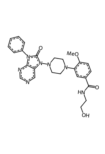 COc1ccc(C(=O)NCCO)cc1N1CCN(n2c(=O)n(-c3ccccc3)c3ncncc32)CC1